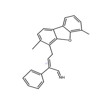 Cc1ccc2c(oc3c(C)cccc32)c1C/C=C(\C=N)c1ccccc1